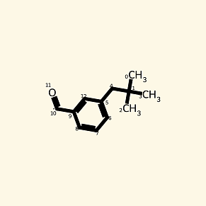 CC(C)(C)Cc1cccc([C]=O)c1